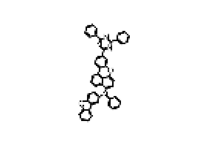 c1ccc(-c2nc(-c3ccccc3)nc(-c3ccc4c(c3)Oc3ccc(N(c5ccccc5)c5ccc6oc7ccccc7c6c5)c5cccc-4c35)n2)cc1